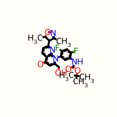 CC1=NOC(C)C1c1ccc2c(=O)cc(CO)n(-c3cc(NC(=O)OC(C)(C)C)c(F)cc3F)c2n1